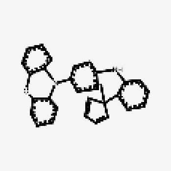 CC1(c2ccccc2Nc2ccc(N3c4ccccc4Oc4ccccc43)cc2)C=CC=C1